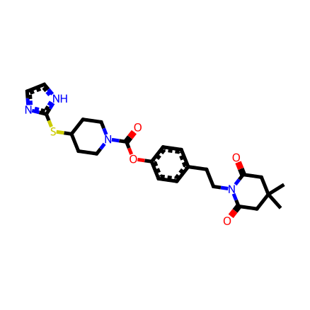 CC1(C)CC(=O)N(CCc2ccc(OC(=O)N3CCC(Sc4ncc[nH]4)CC3)cc2)C(=O)C1